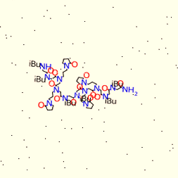 CC[C@H](C)NCC(=O)N(CC(=O)N(CCCN1CCCC1=O)CC(=O)N(CCCN1CCCC1=O)CC(=O)N(CC(=O)N(CC(=O)N(CCCN1CCCC1=O)CC(=O)N(CCCN1CCCC1=O)CC(=O)N(CC(=O)N(CC(N)=O)[C@@H](C)CC)[C@@H](C)CC)[C@@H](C)CC)[C@@H](C)CC)[C@@H](C)CC